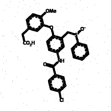 COc1ccc(CC(=O)O)cc1Oc1ccc(NC(=O)c2ccc(Cl)cc2)cc1C[S+]([O-])c1ccccc1